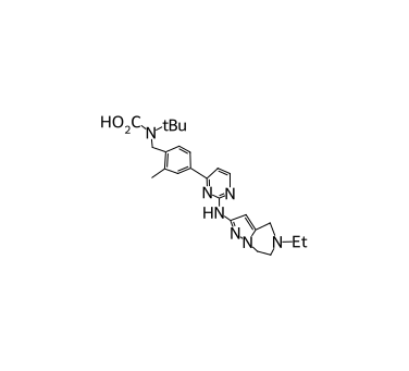 CCN1CCn2nc(Nc3nccc(-c4ccc(CN(C(=O)O)C(C)(C)C)c(C)c4)n3)cc2C1